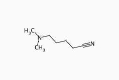 CN(C)CC[CH]CC#N